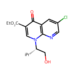 CCOC(=O)c1cn([C@H](CO)C(C)C)c2ncc(Cl)cc2c1=O